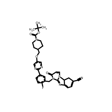 CC(C)(C)OC(=O)N1CCC(COc2cnc(-c3ccc(F)c(CN4C(=O)C=CN5C4=NC4=CC=C(C#N)CC45)c3)nc2)CC1